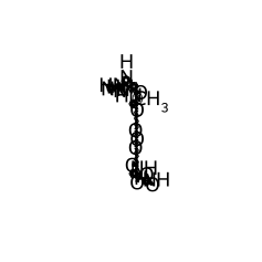 C[C@@H](NC(=O)c1cccc(NC2(c3nnc(-c4ccncc4)[nH]3)CCNCC2)c1)c1cccc(OCCCCCCOCCOCCOCCCCCC(=O)Nc2cccc3c2CN(C2CCC(=O)NC2=O)C3=O)c1